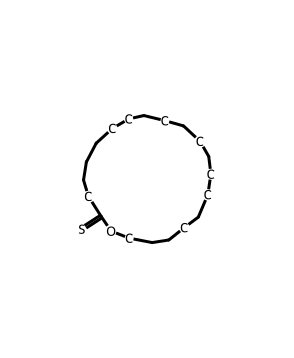 S=C1CCCCCCCCCCCCCCCCCCO1